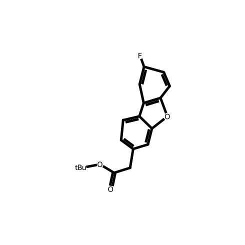 CC(C)(C)OC(=O)Cc1ccc2c(c1)oc1ccc(F)cc12